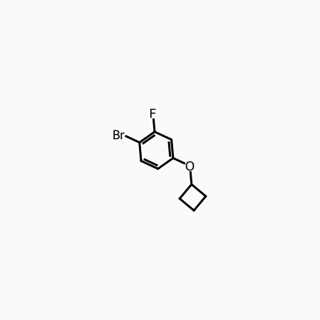 Fc1cc(OC2CCC2)ccc1Br